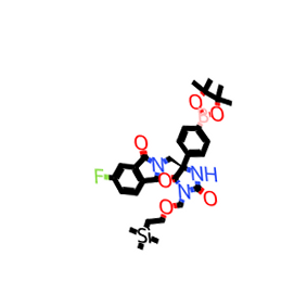 CC1(C)OB(c2ccc([C@]3(CN4Cc5ccc(F)cc5C4=O)NC(=O)N(COCC[Si](C)(C)C)C3=O)cc2)OC1(C)C